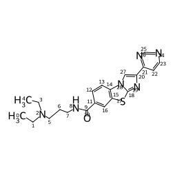 CCN(CC)CCCNC(=O)c1ccc2c(c1)sc1nc(-c3ccncn3)cn12